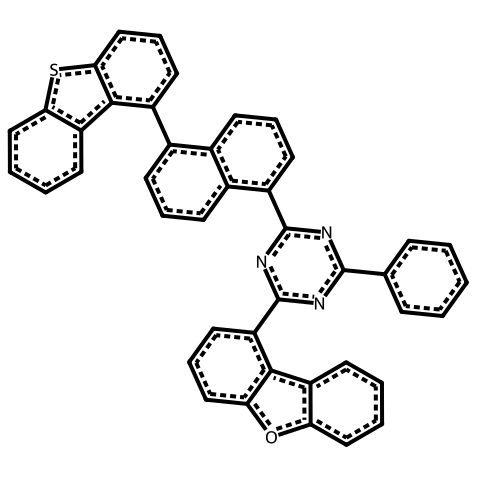 c1ccc(-c2nc(-c3cccc4c(-c5cccc6sc7ccccc7c56)cccc34)nc(-c3cccc4oc5ccccc5c34)n2)cc1